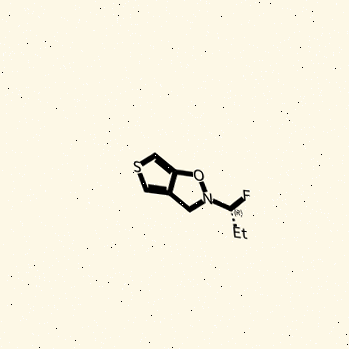 [CH2]C[C@@H](F)N1Cc2cscc2O1